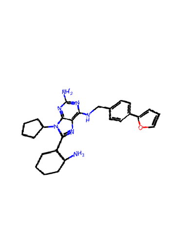 Nc1nc(NCc2ccc(-c3ccco3)cc2)c2nc(C3CCCCC3N)n(C3CCCC3)c2n1